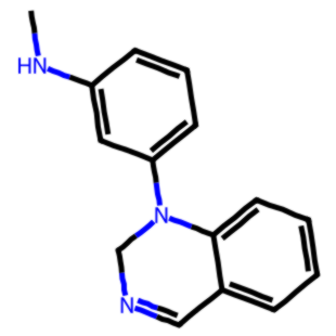 CNc1cccc(N2CN=Cc3ccccc32)c1